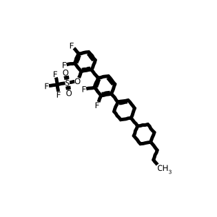 CCCC1CCC(C2CC=C(c3ccc(-c4ccc(F)c(F)c4OS(=O)(=O)C(F)(F)F)c(F)c3F)CC2)CC1